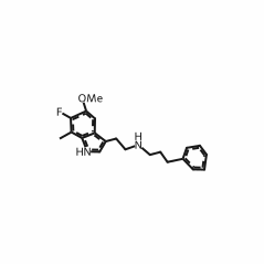 COc1cc2c(CCNCCCc3ccccc3)c[nH]c2c(C)c1F